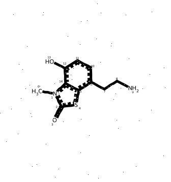 Cn1c(=O)sc2c(CCN)ccc(O)c21